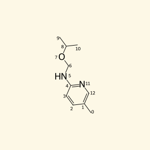 Cc1ccc(NCOC(C)C)nc1